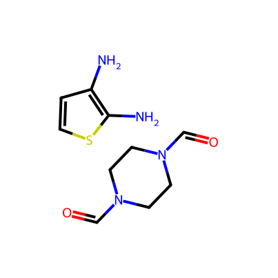 Nc1ccsc1N.O=CN1CCN(C=O)CC1